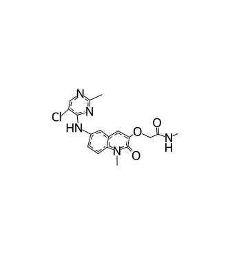 CNC(=O)COc1cc2cc(Nc3nc(C)ncc3Cl)ccc2n(C)c1=O